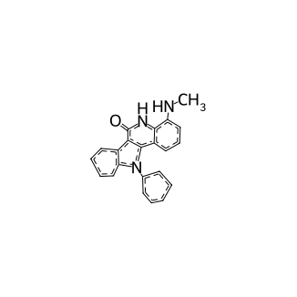 CNc1cccc2c1[nH]c(=O)c1c3ccccc3n(-c3ccccc3)c21